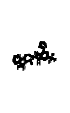 CC1CN(c2ncccc2C(F)(F)F)CCN1c1nc2c(-c3cccs3)cc(C(F)(F)F)cc2[nH]1